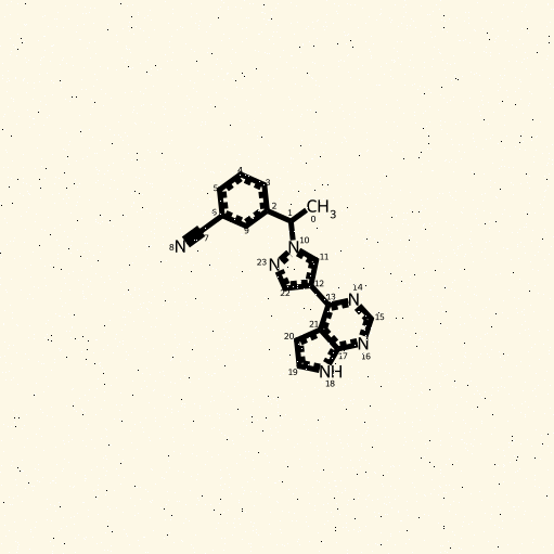 CC(c1cccc(C#N)c1)n1cc(-c2ncnc3[nH]ccc23)cn1